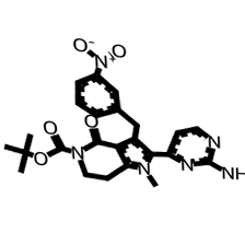 Cn1c2c(c(Cc3cccc([N+](=O)[O-])c3)c1-c1ccnc(N)n1)C(=O)N(C(=O)OC(C)(C)C)CC2